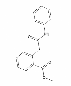 COC(=O)c1ccccc1CC(=O)Nc1ccccc1